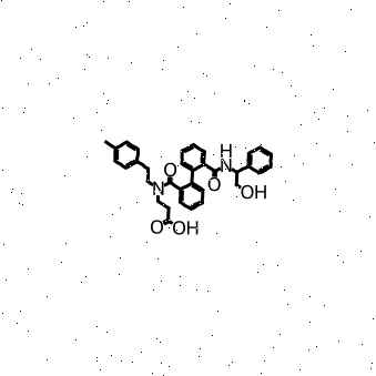 Cc1ccc(CCN(CCC(=O)O)C(=O)c2ccccc2-c2ccccc2C(=O)NC(CO)c2ccccc2)cc1